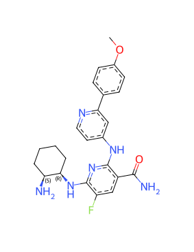 COc1ccc(-c2cc(Nc3nc(N[C@@H]4CCCC[C@@H]4N)c(F)cc3C(N)=O)ccn2)cc1